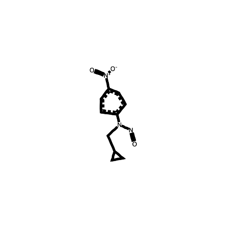 O=NN(CC1CC1)c1ccc([N+](=O)[O-])cc1